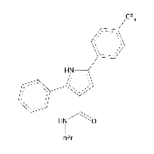 CCCNC(=O)c1cc(-c2ccc(C(F)(F)F)cc2)[nH]c1-c1ccccc1